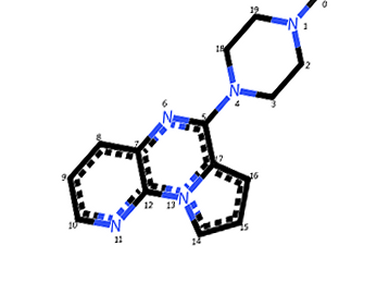 CCCN1CCN(c2nc3cccnc3n3cccc23)CC1